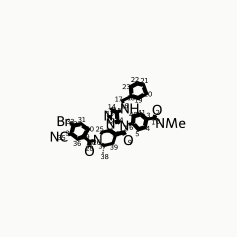 CNC(=O)c1ccc(-n2c(=O)c3c(n4ncc(NCc5ccccc5)c24)CN(C(=O)c2ccc(Br)c(C#N)c2)[C@@H](C)C3)cc1